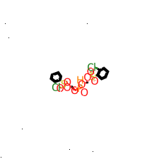 O=[PH](OCOS(=O)(=O)c1ccccc1Cl)OCOS(=O)(=O)c1ccccc1Cl